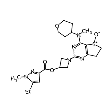 CCc1cc(C(=O)OC2CN(c3nc4c(c(N(C)C5CCOCC5)n3)[S+]([O-])CC4)C2)nn1C